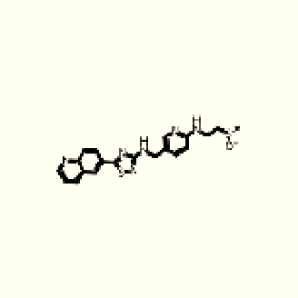 C[S+]([O-])CCNc1ccc(CNc2nsc(-c3ccc4ncccc4c3)n2)cn1